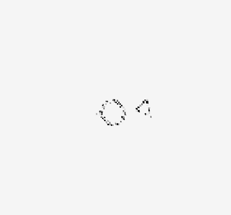 [CH]1CC1.[c]1ccccc1